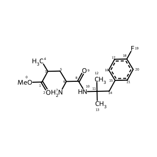 COC(=O)C(C)CC(N)C(=O)NC(C)(C)Cc1ccc(F)cc1